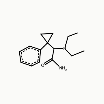 CCN(CC)C(C(N)=O)C1(c2ccccc2)CC1